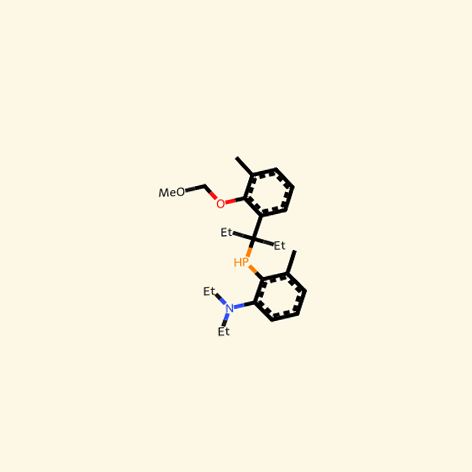 CCN(CC)c1cccc(C)c1PC(CC)(CC)c1cccc(C)c1OCOC